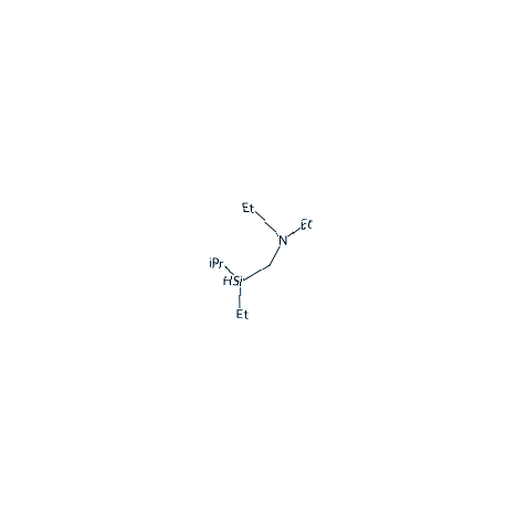 CCN(CC)C[SiH](CC)C(C)C